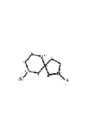 CC(C)(C)N1CCOC2(CCN(C(C)(C)C)C2)C1